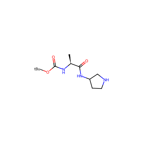 C[C@H](NC(=O)OC(C)(C)C)C(=O)NC1CCNC1